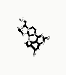 C=CC(=O)N1CCN(c2nc(Cl)nc3cc(Br)c4ccoc4c23)C[C@@H]1CC#N